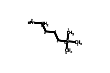 CCC[SiH2]CCC[Si](C)(C)C